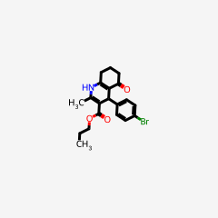 CCCOC(=O)C1=C(C)NC2=C(C(=O)CCC2)C1c1ccc(Br)cc1